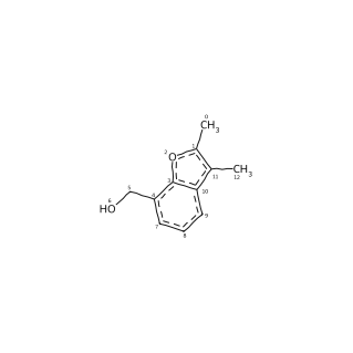 Cc1oc2c(CO)cccc2c1C